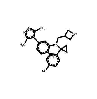 Cc1ccc(-c2c(C)noc2C)cc1N(CC1CNC1)C1(c2ccc(C#N)cc2)CC1